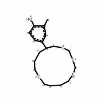 Cc1cc(C2CCCCCCCCCCCCCC2)ccc1O